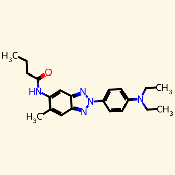 CCCC(=O)Nc1cc2nn(-c3ccc(N(CC)CC)cc3)nc2cc1C